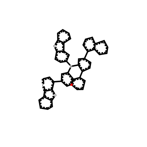 c1ccc(-c2ccc(-c3cccc4ccccc34)cc2N(c2cccc(-c3cccc4c3oc3ccccc34)c2)c2ccc3oc4ccccc4c3c2)cc1